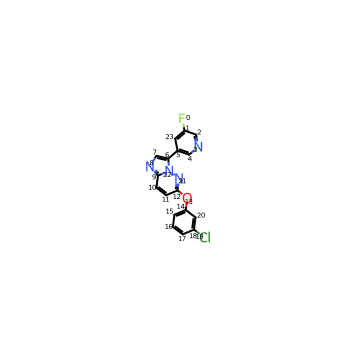 Fc1cncc(-c2cnc3ccc(Oc4cccc(Cl)c4)nn23)c1